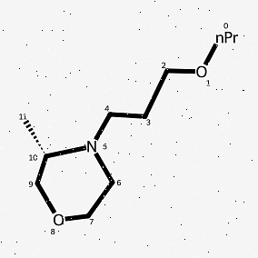 CCCOCCCN1CCOC[C@@H]1C